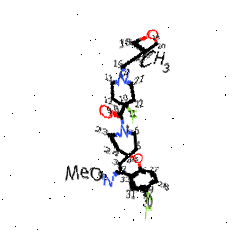 CO/N=C1\CC2(CCN(C(=O)C3(F)CCN(CC4(C)COC4)CC3)CC2)Oc2ccc(F)cc21